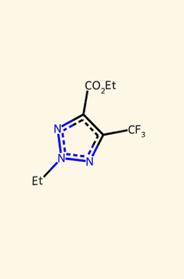 CCOC(=O)c1nn(CC)nc1C(F)(F)F